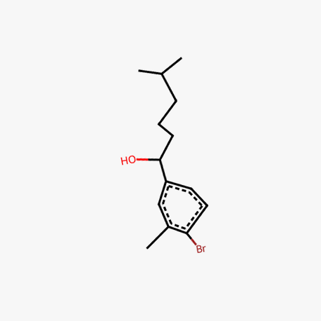 Cc1cc(C(O)CCCC(C)C)ccc1Br